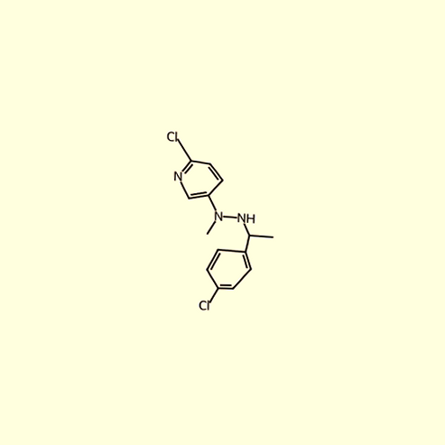 CC(NN(C)c1ccc(Cl)nc1)c1ccc(Cl)cc1